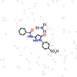 CCN(CC)CC.O=C(Nc1cc(=O)n(-c2ccc(S(=O)(=O)O)cc2)[nH]1)c1ccccc1